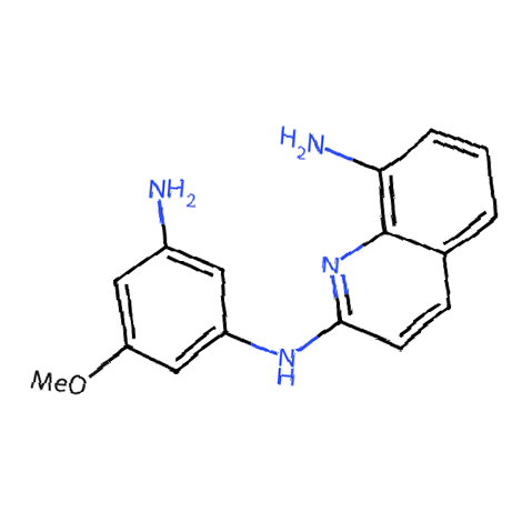 COc1cc(N)cc(Nc2ccc3cccc(N)c3n2)c1